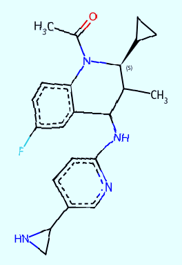 CC(=O)N1c2ccc(F)cc2C(Nc2ccc(C3CN3)cn2)C(C)[C@@H]1C1CC1